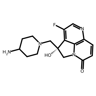 NC1CCN(C[C@]2(O)Cn3c(=O)ccc4ncc(F)c2c43)CC1